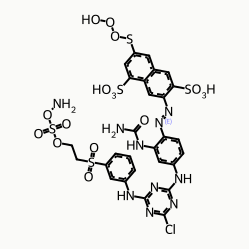 NOS(=O)(=O)OCCS(=O)(=O)c1cccc(Nc2nc(Cl)nc(Nc3ccc(/N=N/c4cc5c(S(=O)(=O)O)cc(SOOO)cc5cc4S(=O)(=O)O)c(NC(N)=O)c3)n2)c1